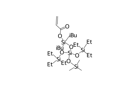 C=CC(=O)O[Si](O[Si](O[Si](C)(C)C)(O[Si](CC)(CC)CC)O[Si](CC)(CC)CC)(C(C)CC)C(C)CC